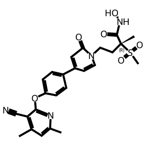 Cc1cc(C)c(C#N)c(Oc2ccc(-c3ccn(CC[C@](C)(C(=O)NO)S(C)(=O)=O)c(=O)c3)cc2)n1